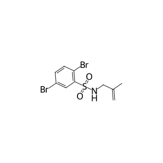 C=C(C)CNS(=O)(=O)c1cc(Br)ccc1Br